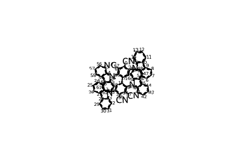 N#Cc1c(-n2c3ccccc3c3ccccc32)cc(-c2cc(-n3c4ccccc4c4ccccc43)c(C#N)c(C#N)c2-n2c3ccccc3c3ccccc32)c(-n2c3ccccc3c3ccccc32)c1C#N